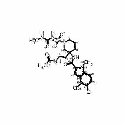 CNC(=O)NS(=O)(=O)N1CCCC(CCNC(C)=O)(NC(=O)c2cc3c(Cl)c(Cl)ccc3n2C)C1